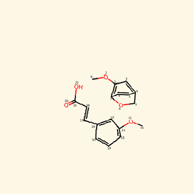 COc1cc2ccc1OC2.COc1cccc(/C=C/C(=O)O)c1